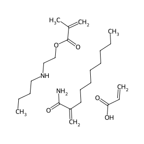 C=C(C)C(=O)OCCNCCCC.C=C(CCCCCCCC)C(N)=O.C=CC(=O)O